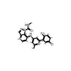 CNC(=O)n1ncc2nccc(Nc3cc(C)nc(-c4cc(Cl)ccc4F)c3)c21